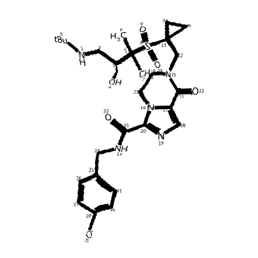 CC(C)(C)NC[C@H](O)C(C)(C)S(=O)(=O)C1(CN2CCn3c(cnc3C(=O)NCc3ccc(Cl)cc3)C2=O)CC1